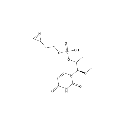 CO[C@H](C(C)OP(O)(=S)OCCC1C=N1)n1ccc(=O)[nH]c1=O